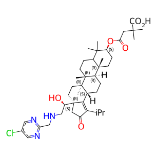 CC(C)C1=C2[C@H]3CC[C@@H]4[C@@]5(C)CC[C@H](OC(=O)CC(C)(C)C(=O)O)C(C)(C)C5CC[C@@]4(C)[C@]3(C)CC[C@@]2([C@H](O)CNCc2ncc(Cl)cn2)CC1=O